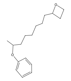 CC(CCCCCCC1CCO1)Oc1ccccc1